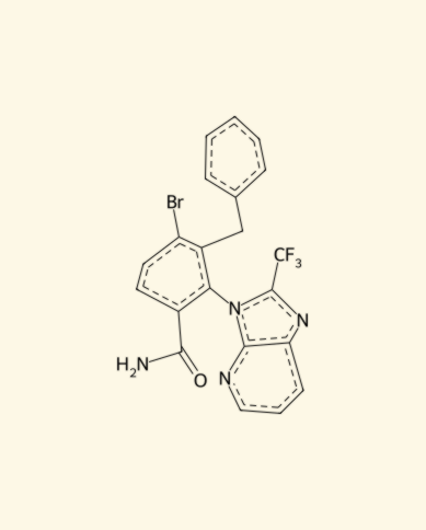 NC(=O)c1ccc(Br)c(Cc2ccccc2)c1-n1c(C(F)(F)F)nc2cccnc21